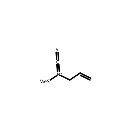 C=CC[N+](=C=S)SC